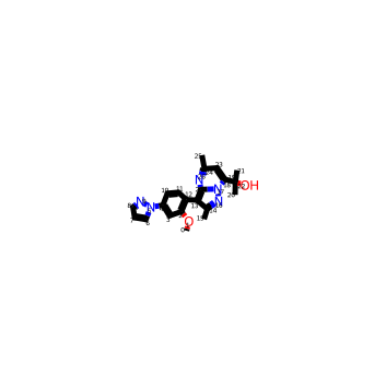 COc1cc(-n2cccn2)ccc1-c1c(C)nn2c(C(C)(C)O)cc(C)nc12